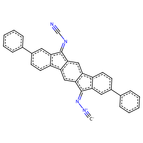 [C-]#[N+]/N=c1\c2cc(-c3ccccc3)ccc2c2cc3/c(=N/C#N)c4cc(-c5ccccc5)ccc4c3cc12